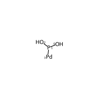 O[P](O)[Pd]